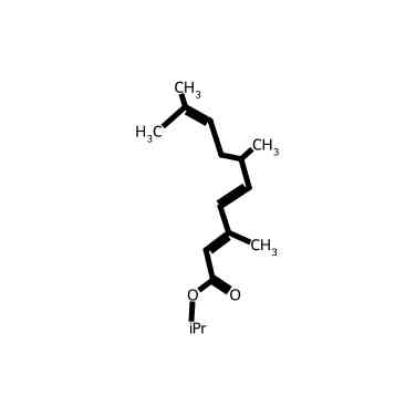 CC(C)=CCC(C)/C=C/C(C)=C/C(=O)OC(C)C